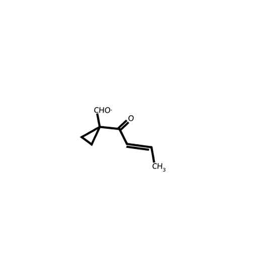 CC=CC(=O)C1([C]=O)CC1